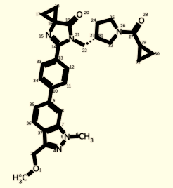 COCc1nn(C)c2cc(-c3ccc(C4=NC5(CC5)C(=O)N4C[C@@H]4CCN(C(=O)C5CC5)C4)cc3)ccc12